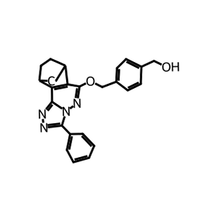 OCc1ccc(COc2nn3c(-c4ccccc4)nnc3c3c2C2CCC3CC2)cc1